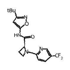 CC(C)(C)c1cc(NC(=O)[C@@H]2CCN2c2ccc(C(F)(F)F)cn2)on1